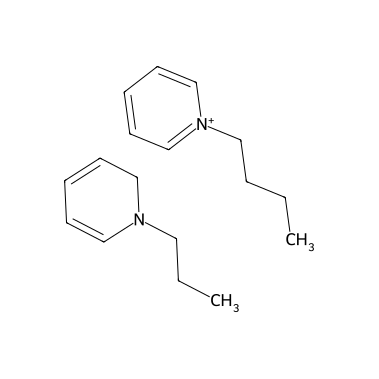 CCCC[n+]1ccccc1.CCCN1C=CC=CC1